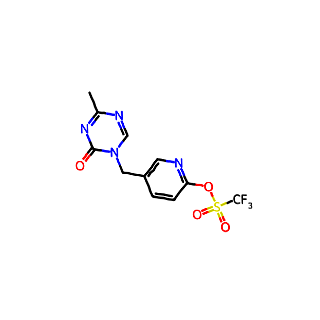 Cc1ncn(Cc2ccc(OS(=O)(=O)C(F)(F)F)nc2)c(=O)n1